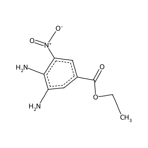 CCOC(=O)c1cc(N)c(N)c([N+](=O)[O-])c1